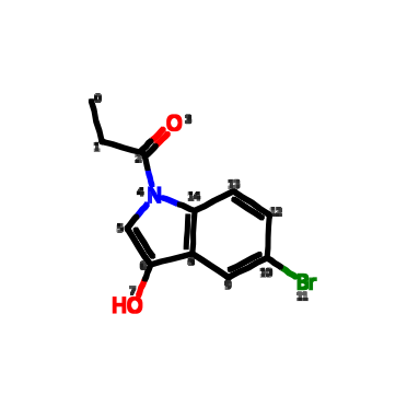 CCC(=O)n1cc(O)c2cc(Br)ccc21